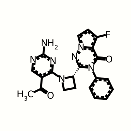 CC(=O)c1cnc(N)nc1N1CC[C@H]1c1nn2ccc(F)c2c(=O)n1-c1ccccc1